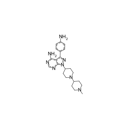 CN1CCC(N2CCC(n3nc(-c4ccc(N)cc4)c4c(N)ncnc43)CC2)CC1